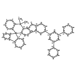 CC1(C)c2ccccc2C2(c3ccccc3-c3ccccc32)c2ccc3c(sc4ccc(-c5cc(-c6ccccc6)cc(-c6ccccc6)n5)cc43)c21